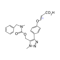 CN(Cc1ccccc1)C(=O)OCc1c(-c2ccc(O/C=C/C(=O)O)cc2)nnn1C